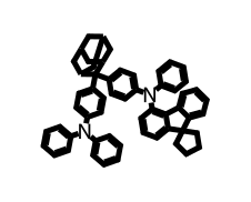 c1ccc(N(c2ccccc2)c2ccc(C3(c4ccc(N(c5ccccc5)c5cccc6c5-c5ccccc5C65CCCC5)cc4)C4CC5CC(C4)CC3C5)cc2)cc1